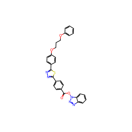 O=C(On1nnc2ccccc21)c1ccc(-c2nnc(-c3ccc(OCCCOc4ccccc4)cc3)s2)cc1